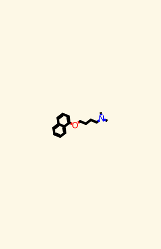 CN(C)CCCCOc1cccc2ccccc12